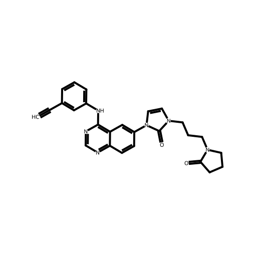 C#Cc1cccc(Nc2ncnc3ccc(-n4ccn(CCCN5CCCC5=O)c4=O)cc23)c1